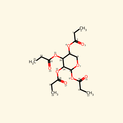 CCC(=O)OC1COC(OC(=O)CC)C(OC(=O)CC)C1OC(=O)CC